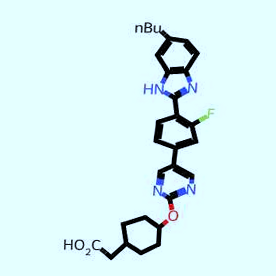 CCCCc1ccc2nc(-c3ccc(-c4cnc(OC5CCC(CC(=O)O)CC5)nc4)cc3F)[nH]c2c1